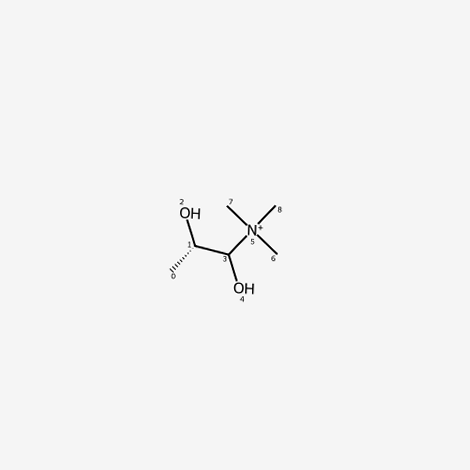 C[C@H](O)C(O)[N+](C)(C)C